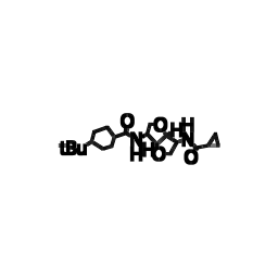 CC(C)(C)C1CCC(C(=O)N[C@H]2CO[C@H]3[C@@H]2OC[C@@H]3NC(=O)C2CC2)CC1